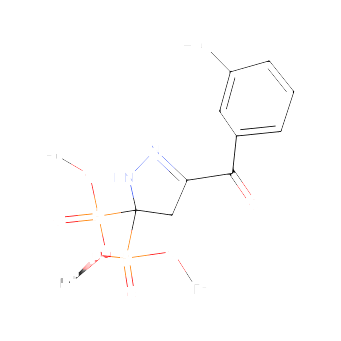 CCOP(=O)(OCC)C1(P(=O)(OCC)OCC)CC(C(=O)c2cccc(C)c2)=NN1